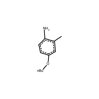 CCCCOc1ccc(N)c(C)c1